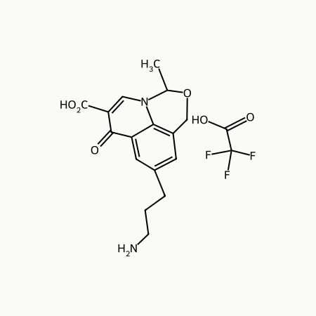 CC1OCc2cc(CCCN)cc3c(=O)c(C(=O)O)cn1c23.O=C(O)C(F)(F)F